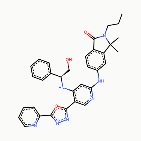 CCCN1C(=O)c2ccc(Nc3cc(N[C@H](CO)c4ccccc4)c(-c4nnc(-c5ccccn5)o4)cn3)cc2C1(C)C